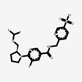 CCS(=O)(=O)c1ccc(CNC(=O)c2cnc(N3CCC[C@H]3COC(F)F)c(F)c2)nc1